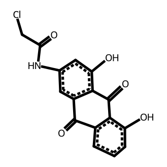 O=C(CCl)Nc1cc(O)c2c(c1)C(=O)c1cccc(O)c1C2=O